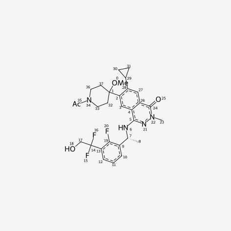 COC1(c2cc3c(N[C@H](C)c4cccc(C(F)(F)CO)c4F)nn(C)c(=O)c3cc2C2CC2)CCN(C(C)=O)CC1